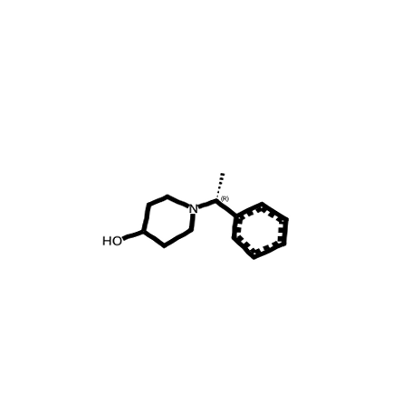 C[C@H](c1ccccc1)N1CCC(O)CC1